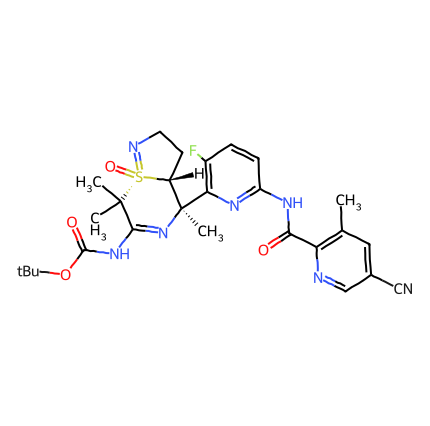 Cc1cc(C#N)cnc1C(=O)Nc1ccc(F)c([C@@]2(C)N=C(NC(=O)OC(C)(C)C)C(C)(C)[S@]3(=O)=NCC[C@H]23)n1